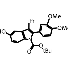 COc1ccc(-c2c(C(C)C)c3cc(O)ccc3n2C(=O)OC(C)(C)C)cc1OC